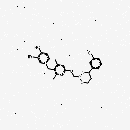 Cc1cc(OCP2OCCC(c3cccc(Cl)c3)O2)cc(C)c1Cc1ccc(O)c(C(C)C)c1